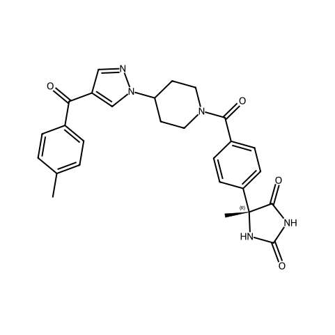 Cc1ccc(C(=O)c2cnn(C3CCN(C(=O)c4ccc([C@@]5(C)NC(=O)NC5=O)cc4)CC3)c2)cc1